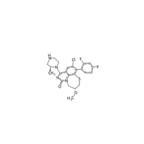 CO[C@H]1CSc2c(-c3ccc(F)cc3F)c(Cl)cc3c(N4CCNC[C@@H]4C)nc(=O)n(c23)C1